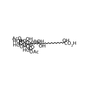 CCCCC(CCCC(O)C(O)CCCCCCCCCCCCCCC(O)C(=O)O)OC1OCC(OC(C)=O)C(O)C1OC1OCC(O)C(O)C1OC1OC(COC(C)=O)C(O)C(O)C1O